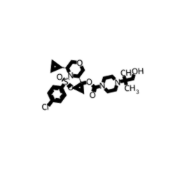 CC(C)(CO)N1CCN(C(=O)OC2([C@H]3COC[C@@H](C4CC4)N3S(=O)(=O)c3ccc(Cl)cc3)CC2)CC1